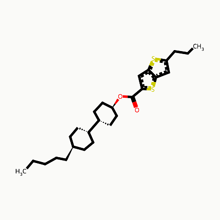 CCCCC[C@H]1CC[C@H]([C@H]2CC[C@H](OC(=O)c3cc4sc(CCC)cc4s3)CC2)CC1